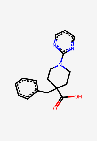 O=C(O)C1(Cc2ccccc2)CCN(c2ncccn2)CC1